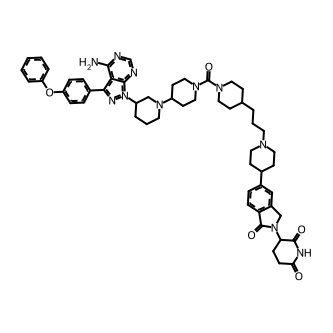 Nc1ncnc2c1c(-c1ccc(Oc3ccccc3)cc1)nn2C1CCCN(C2CCN(C(=O)N3CCC(CCCN4CCC(c5ccc6c(c5)CN(C5CCC(=O)NC5=O)C6=O)CC4)CC3)CC2)C1